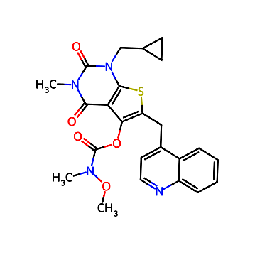 CON(C)C(=O)Oc1c(Cc2ccnc3ccccc23)sc2c1c(=O)n(C)c(=O)n2CC1CC1